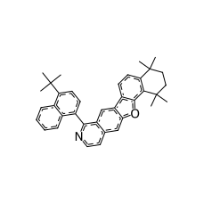 CC(C)(C)c1ccc(-c2nccc3cc4oc5c6c(ccc5c4cc23)C(C)(C)CCC6(C)C)c2ccccc12